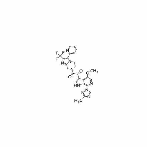 COc1cnc(-n2cnc(C)n2)c2[nH]cc(C(=O)C(=O)N3CCn4c(nc(C(F)(F)F)c4-c4ccccn4)C3)c12